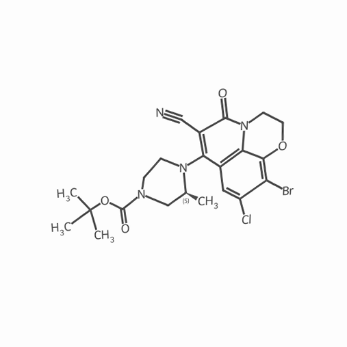 C[C@H]1CN(C(=O)OC(C)(C)C)CCN1c1c(C#N)c(=O)n2c3c(c(Br)c(Cl)cc13)OCC2